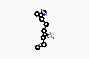 CC1(C)c2cc(C3=C4Sc5ccccc5C4CC=C3)ccc2-c2ccc(-c3cccc(C4C=Cc5c(c6nccnc6c6ccccc56)C4)c3)cc21